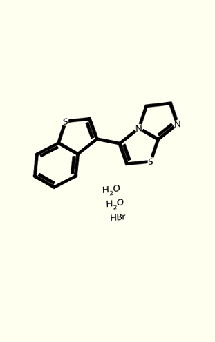 Br.C1=C(c2csc3ccccc23)N2CCN=C2S1.O.O